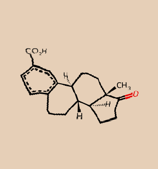 C[C@]12CC[C@@H]3c4cc(C(=O)O)ccc4CC[C@H]3[C@@H]1CCC2=O